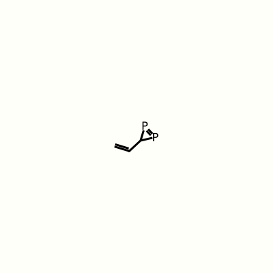 C=CC1P=P1